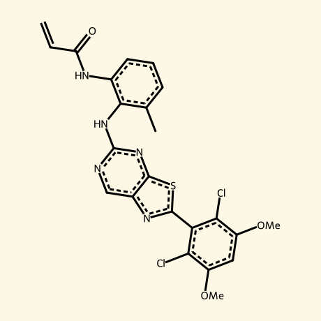 C=CC(=O)Nc1cccc(C)c1Nc1ncc2nc(-c3c(Cl)c(OC)cc(OC)c3Cl)sc2n1